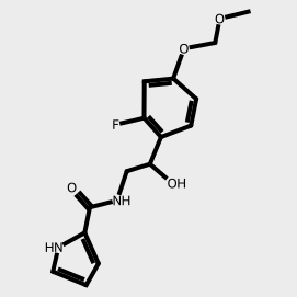 COCOc1ccc(C(O)CNC(=O)c2ccc[nH]2)c(F)c1